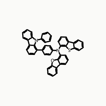 c1ccc(-n2c3ccccc3c3cccc(-c4ccc(N(c5cccc6c5oc5ccccc56)c5cccc6c5sc5ccccc56)cc4)c32)cc1